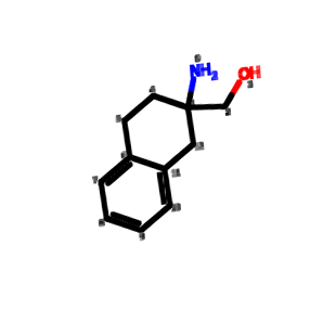 NC1(CO)CCc2ccccc2C1